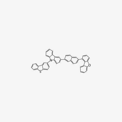 c1ccc2c(c1)oc1cccc(-c3ccc4cc(-c5ccc6c(c5)c5ccccc5n6-c5ccc6sc7ccccc7c6c5)ccc4c3)c12